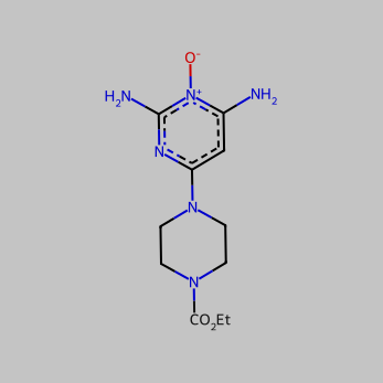 CCOC(=O)N1CCN(c2cc(N)[n+]([O-])c(N)n2)CC1